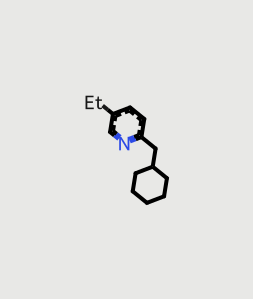 CCc1ccc(CC2CCCCC2)nc1